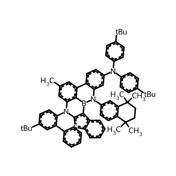 Cc1cc2c3c(c1)N(c1ccc(C(C)(C)C)cc1-c1ccccc1)c1sc4ccccc4c1B3N(c1ccc3c(c1)C(C)(C)CCC3(C)C)c1cc(N(c3ccc(C(C)(C)C)cc3)c3ccc(C(C)(C)C)cc3)ccc1-2